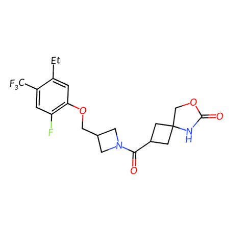 CCc1cc(OCC2CN(C(=O)C3CC4(COC(=O)N4)C3)C2)c(F)cc1C(F)(F)F